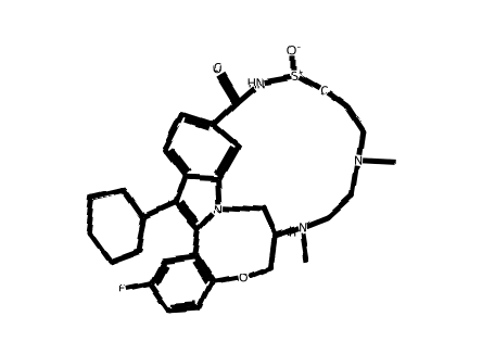 CN1CCC[S+]([O-])NC(=O)c2ccc3c(C4CCCCC4)c4n(c3c2)C[C@H](COc2ccc(F)cc2-4)N(C)CC1